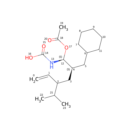 C=CC(C[C@H](CC1CCCCC1)[C@@H](NC(=O)O)OC(C)=O)C(C)C